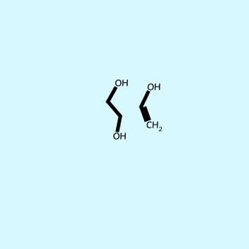 C=CO.OCCO